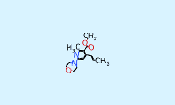 C/C=C/c1cc(N2CCOCC2)nc(C)c1C(=O)OCC